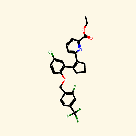 CCOC(=O)c1cccc(C2=C(c3cc(Cl)ccc3OCc3ccc(C(F)(F)F)cc3F)CCC2)n1